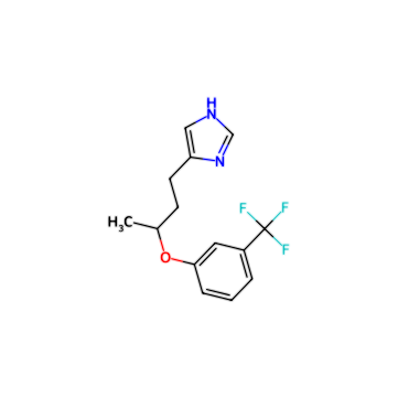 CC(CCc1c[nH]cn1)Oc1cccc(C(F)(F)F)c1